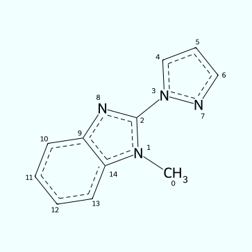 Cn1c(-n2cccn2)nc2ccccc21